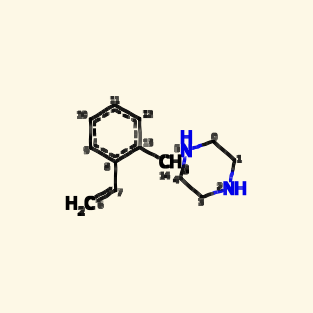 C1CNCCN1.C=Cc1ccccc1C